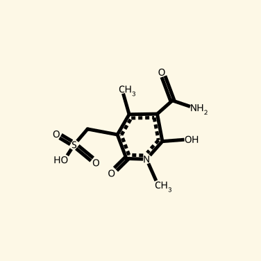 Cc1c(C(N)=O)c(O)n(C)c(=O)c1CS(=O)(=O)O